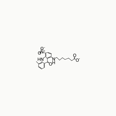 COC(=O)CCCCCCNc1ccc([N+](=O)[O-])c2[nH]c3c(C)cccc3c(=O)c12